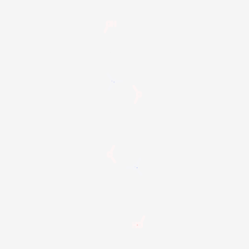 OCCCN1COc2cc3c(cc2C1)OCN(CCCO)C3